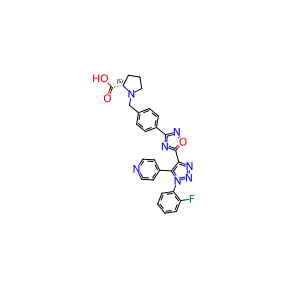 O=C(O)[C@@H]1CCCN1Cc1ccc(-c2noc(-c3nnn(-c4ccccc4F)c3-c3ccncc3)n2)cc1